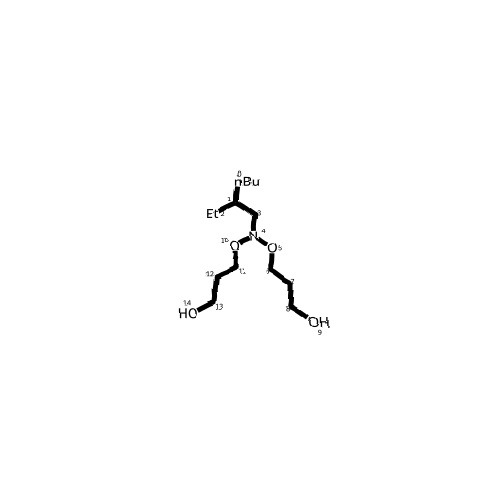 CCCCC(CC)CN(OCCCO)OCCCO